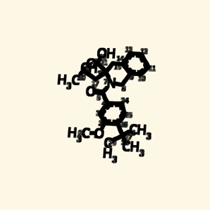 COc1cc(C(=O)N2Cc3ccccc3CC2(CC(C)C)C(=O)O)ccc1C(C)(C)C